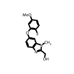 COc1ccc(F)c(Oc2ccc3nc(CO)n(C)c3c2)c1